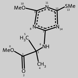 COC(=O)C(C)(C)Nc1nc(OC)nc(SC)n1